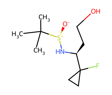 CC(C)(C)[S@@+]([O-])N[C@@H](CCO)C1(F)CC1